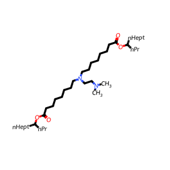 CCCCCCCC(CCC)OC(=O)CCCCCCCN(CCCCCCCC(=O)OC(CCC)CCCCCCC)CCN(C)C